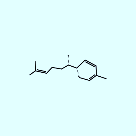 CC(C)=CCC[C@H](C)[C@@H]1C=CC(C)=CC1